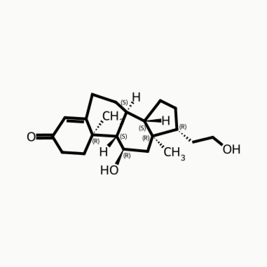 C[C@]12C[C@@H](O)[C@H]3[C@@H](CCC4=CC(=O)CC[C@@]43C)[C@@H]1CC[C@@H]2CCO